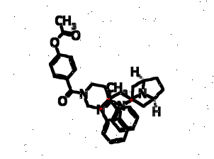 CC(=O)Oc1ccc(C(=O)N2CCC(CCN3[C@@H]4CC[C@H]3C[C@@H](n3c(C)nc5ccccc53)C4)(c3ccccc3)CC2)cc1